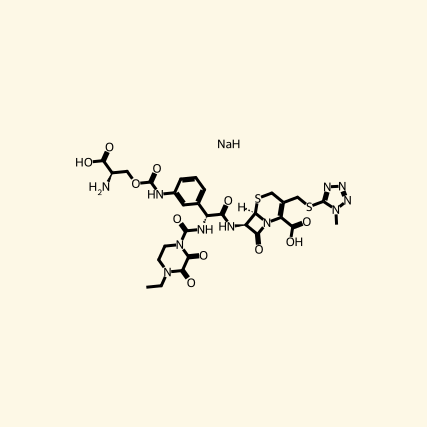 CCN1CCN(C(=O)N[C@@H](C(=O)N[C@@H]2C(=O)N3C(C(=O)O)=C(CSc4nnnn4C)CS[C@H]23)c2cccc(NC(=O)OC[C@@H](N)C(=O)O)c2)C(=O)C1=O.[NaH]